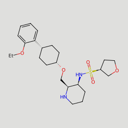 CCOc1ccccc1[C@H]1CC[C@@H](OC[C@@H]2NCCC[C@@H]2NS(=O)(=O)[C@H]2CCOC2)CC1